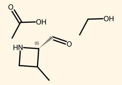 CC(=O)O.CC1CN[C@@H]1C=O.CCO